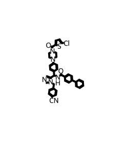 N#Cc1ccc(Cn2cncc2C(NC(=O)c2ccc(-c3ccccc3)cc2)c2ccc(N3CCN(C(=O)c4ccc(Cl)s4)CC3)cc2)cc1